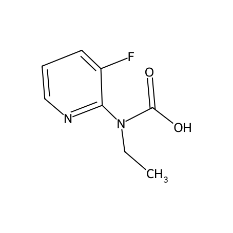 CCN(C(=O)O)c1ncccc1F